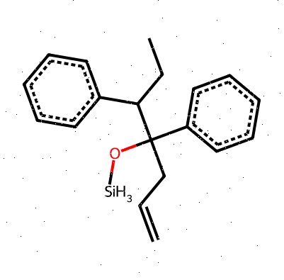 C=CCC(O[SiH3])(c1ccccc1)C(CC)c1ccccc1